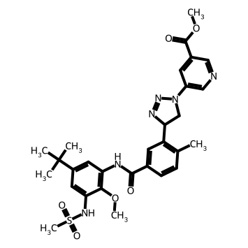 COC(=O)c1cncc(N2CC(c3cc(C(=O)Nc4cc(C(C)(C)C)cc(NS(C)(=O)=O)c4OC)ccc3C)N=N2)c1